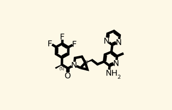 Cc1nc(N)c(CC[C@]23CCN(C(=O)[C@@H](C)c4cc(F)c(F)c(F)c4)C2C3)cc1-c1ncccn1